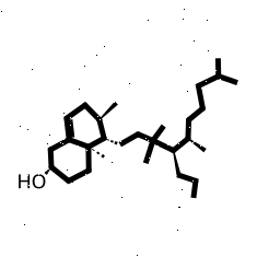 CCC[C@H]([C@H](C)CCCC(C)C)C(C)(C)CC[C@H]1[C@H](C)CC=C2C[C@@H](O)CC[C@@]21C